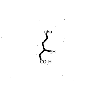 CCCCCCC(S)CC(=O)O